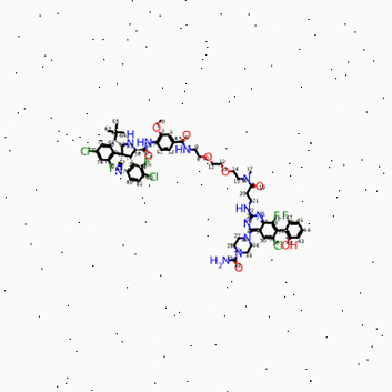 COc1cc(C(=O)NCCOCCOCCN(C)C(=O)CCNc2nc(N3CCN(C(N)=O)CC3)c3cc(Cl)c(-c4c(O)cccc4F)c(F)c3n2)ccc1NC(=O)[C@@H]1N[C@@H](CC(C)(C)C)[C@](C#N)(c2ccc(Cl)cc2F)[C@H]1c1cccc(Cl)c1F